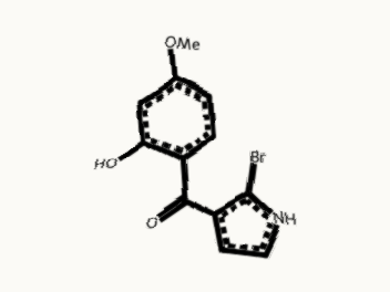 COc1ccc(C(=O)c2cc[nH]c2Br)c(O)c1